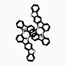 N#Cc1cc(-n2c3cc4sc5ccccc5c4cc3c3cccc(-n4c5ccccc5c5ccccc54)c32)c(C#N)cc1-n1c2cc3sc4ccccc4c3cc2c2cccc(-n3c4ccccc4c4ccccc43)c21